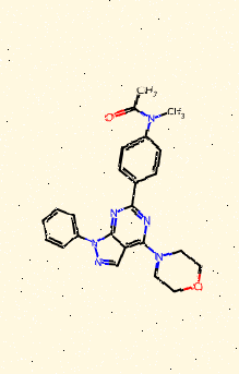 CC(=O)N(C)c1ccc(-c2nc(N3CCOCC3)c3cnn(-c4ccccc4)c3n2)cc1